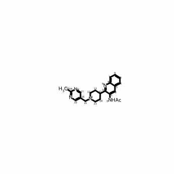 CC(=O)Nc1cc2ccccc2nc1C1CCN(Cc2cnc(C)nc2)CC1